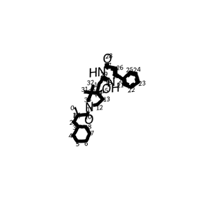 C[C@H](CC1CCCCC1)C(=O)N1CC[C@@](O)(Cc2nc(-c3ccccc3)cc(=O)[nH]2)C(C)(C)C1